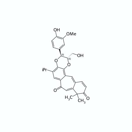 COc1cc([C@@H]2Oc3c(C(C)C)cc4c(=O)cc5c(cc4c3O[C@H]2CO)C=CC(=O)C5(C)C)ccc1O